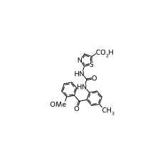 COc1ccccc1C(=O)c1cc(C)ccc1NC(=O)Nc1ncc(C(=O)O)s1